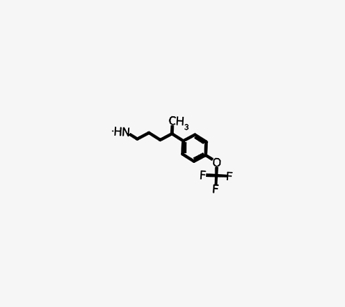 CC(CCC[NH])c1ccc(OC(F)(F)F)cc1